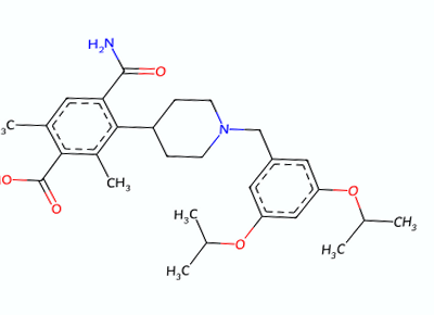 Cc1cc(C(N)=O)c(C2CCN(Cc3cc(OC(C)C)cc(OC(C)C)c3)CC2)c(C)c1C(=O)O